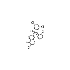 O=S(=O)(c1cc(Cl)cc(Cl)c1)c1cnc2c(F)c(Cl)ccc2c1-c1cccc(Cl)c1